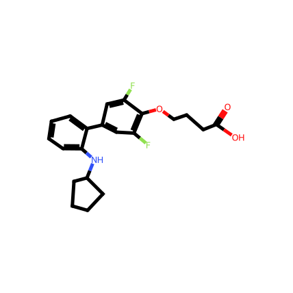 O=C(O)CCCOc1c(F)cc(-c2ccccc2NC2CCCC2)cc1F